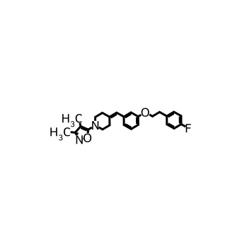 Cc1noc(N2CCC(=Cc3cccc(OCCc4ccc(F)cc4)c3)CC2)c1C